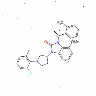 COc1cccc2c1n([C@@H](C)c1ccccc1C(F)(F)F)c(=O)n2C1CCN(c2c(C)cccc2F)C1